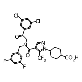 O=C(CN(Cc1cc(F)cc(F)c1)C(=O)c1cnn(C2CCC(C(=O)O)CC2)c1C(F)(F)F)c1cc(Cl)cc(Cl)c1